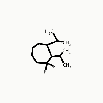 CC(C)C1CCCCC(F)(F)C1C(C)C